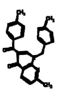 Cc1ccc(Cn2cc(C(=O)c3ccc(C)cc3)c(=O)c3ccc(C)nc32)cc1